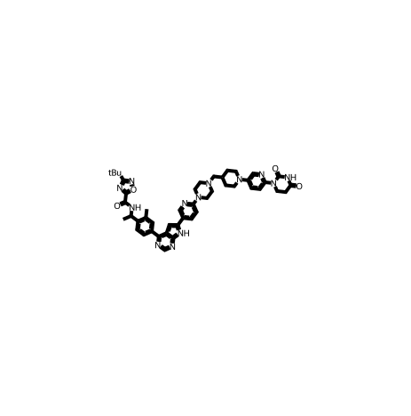 Cc1cc(-c2ncnc3[nH]c(-c4ccc(N5CCN(CC6CCN(c7ccc(N8CCC(=O)NC8=O)nc7)CC6)CC5)nc4)cc23)ccc1C(C)NC(=O)c1nc(C(C)(C)C)no1